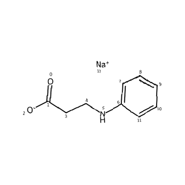 O=C([O-])CCNc1ccccc1.[Na+]